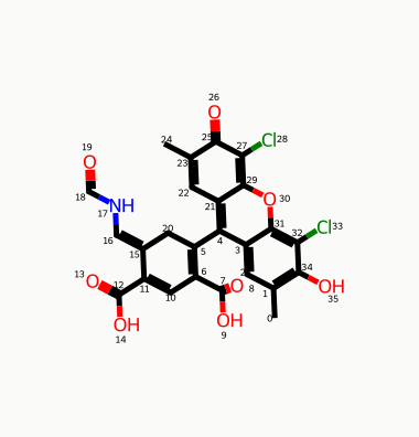 Cc1cc2c(C3=C(C(=O)O)C=C(C(=O)O)C(=CNC=O)C3)c3cc(C)c(=O)c(Cl)c-3oc2c(Cl)c1O